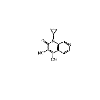 N#Cc1c(O)c2ccncc2n(C2CC2)c1=O